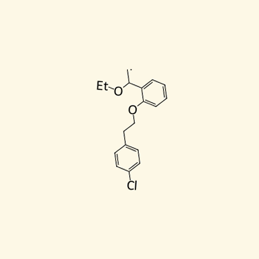 [CH2]C(OCC)c1ccccc1OCCc1ccc(Cl)cc1